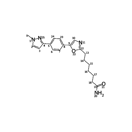 Cn1ccc(-c2ccc(-c3cnc(CCCCCCC(N)=O)o3)cc2)n1